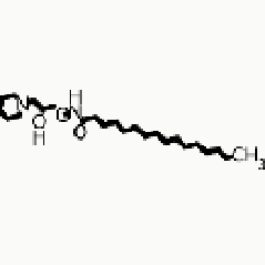 CCCCCCCCCCCCCCCC(=O)NOCC(O)CN1CCCCC1